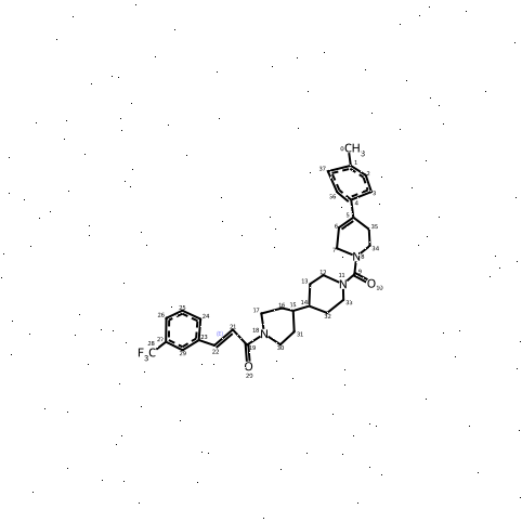 Cc1ccc(C2=CCN(C(=O)N3CCC(C4CCN(C(=O)/C=C/c5cccc(C(F)(F)F)c5)CC4)CC3)CC2)cc1